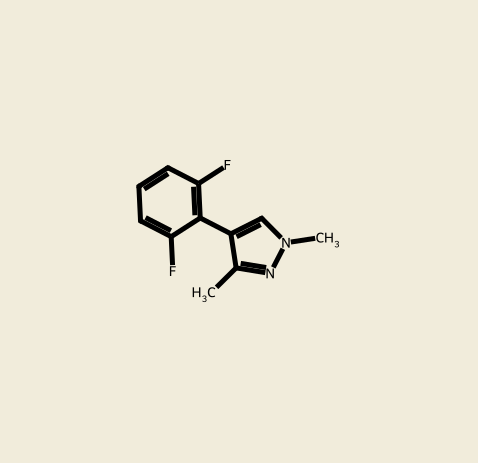 Cc1nn(C)cc1-c1c(F)cccc1F